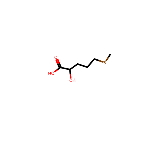 CSCCCC(O)C(=O)O